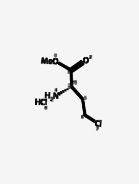 COC(=O)[C@@H](N)CCCl.Cl